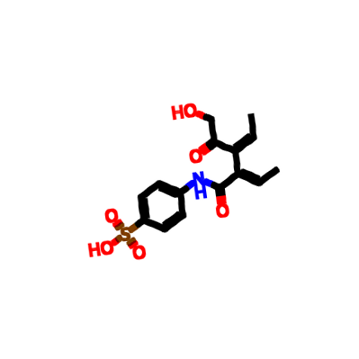 CC=C(C(=O)CO)C(=CC)C(=O)Nc1ccc(S(=O)(=O)O)cc1